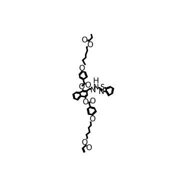 C=CC(=O)OCCCCCCOc1ccc(C(=O)Oc2cc(/C=N/Nc3nc4ccccc4s3)c(OC(=O)c3ccc(OCCCCCCOC(=O)CC)cc3)c3ccccc23)cc1